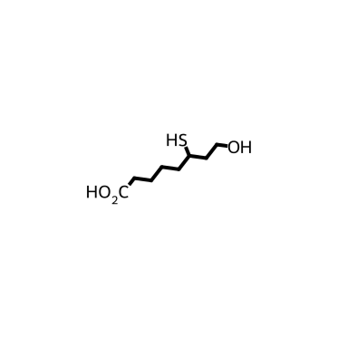 O=C(O)CCCCC(S)CCO